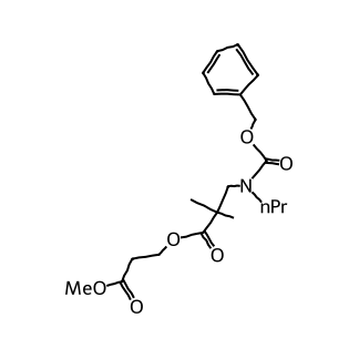 CCCN(CC(C)(C)C(=O)OCCC(=O)OC)C(=O)OCc1ccccc1